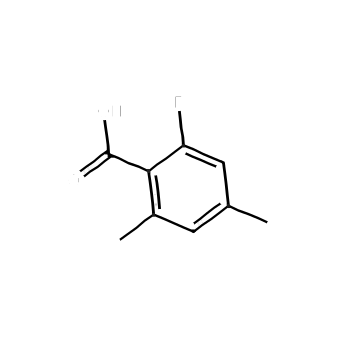 Cc1cc(C)c(C(=O)O)c(F)c1